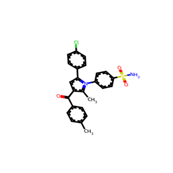 Cc1ccc(C(=O)c2cc(-c3ccc(Cl)cc3)n(-c3ccc(S(N)(=O)=O)cc3)c2C)cc1